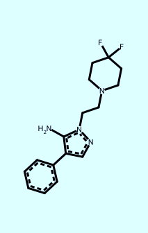 Nc1c(-c2ccccc2)cnn1CCN1CCC(F)(F)CC1